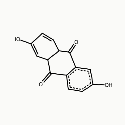 O=C1c2ccc(O)cc2C(=O)C2C=CC(O)=CC12